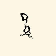 Cc1sc2ccc(OCc3ccccc3)cc2c1Br